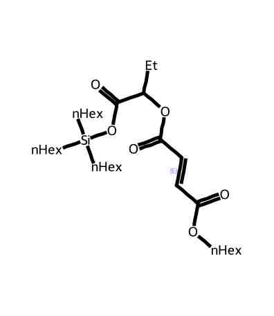 CCCCCCOC(=O)/C=C/C(=O)OC(CC)C(=O)O[Si](CCCCCC)(CCCCCC)CCCCCC